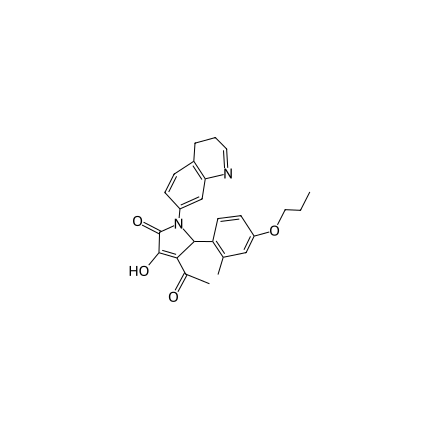 CCCOc1ccc(C2C(C(C)=O)=C(O)C(=O)N2c2ccc3c(c2)N=CCC3)c(C)c1